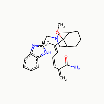 C=C(/C=C\C=C(/C)C1(OC)C2CCCC1CN(Cc1nc3ccccc3[nH]1)C2)C(N)=O